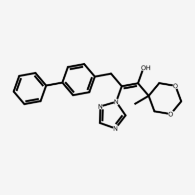 CC1(/C(O)=C(/Cc2ccc(-c3ccccc3)cc2)n2cncn2)COCOC1